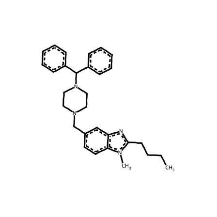 CCCCc1nc2cc(CN3CCN(C(c4ccccc4)c4ccccc4)CC3)ccc2n1C